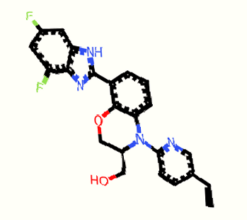 C=Cc1ccc(N2c3cccc(-c4nc5c(F)cc(F)cc5[nH]4)c3OC[C@@H]2CO)nc1